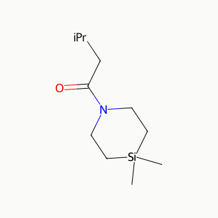 CC(C)CC(=O)N1CC[Si](C)(C)CC1